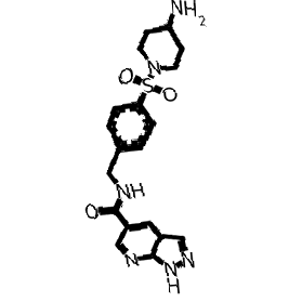 NC1CCN(S(=O)(=O)c2ccc(CNC(=O)C3=CC4C=NNC4N=C3)cc2)CC1